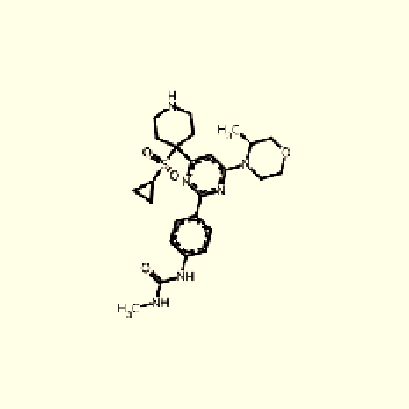 CNC(=O)Nc1ccc(-c2nc(N3CCOC[C@@H]3C)cc(C3(S(=O)(=O)C4CC4)CCNCC3)n2)cc1